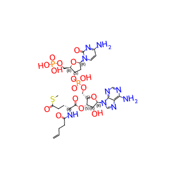 C=CCCC(=O)N[C@H](CCC(=O)SC)C(=O)O[C@H]1[C@@H](O)[C@H](n2cnc3c(N)ncnc32)O[C@H]1COP(=O)(O)O[C@H]1C[C@H](n2ccc(N)nc2=O)O[C@@H]1COP(=O)(O)O